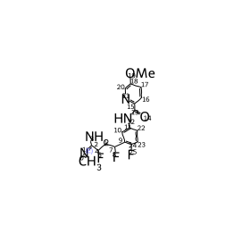 C/N=C(/N)C(F)CC(F)c1cc(NC(=O)c2ccc(OC)cn2)ccc1F